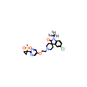 [2H]C([2H])([2H])N1C(=O)C2(CCN(CCOc3cnc(C4(S(C)(=O)=O)CC4)nc3)CC2)c2cc(Cl)ccc21